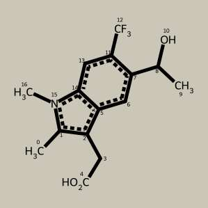 Cc1c(CC(=O)O)c2cc(C(C)O)c(C(F)(F)F)cc2n1C